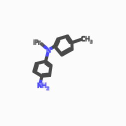 Cc1ccc(N(c2ccc(N)cc2)C(C)C)cc1